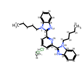 CCCCCn1c(-c2cccc(-c3nc4ccccc4n3CCCCC)n2)nc2ccccc21.[Cl-].[Cl-].[V+2]